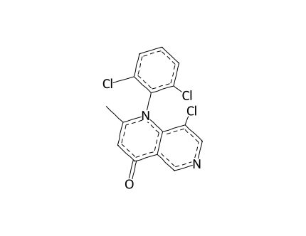 Cc1cc(=O)c2cncc(Cl)c2n1-c1c(Cl)cccc1Cl